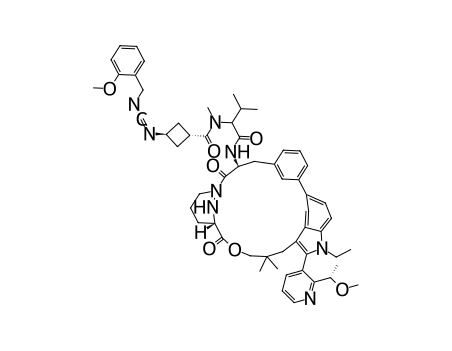 CCn1c(-c2cccnc2[C@H](C)OC)c2c3cc(ccc31)-c1cccc(c1)C[C@H](NC(=O)C(C(C)C)N(C)C(=O)[C@H]1C[C@H](N=C=NCc3ccccc3OC)C1)C(=O)N1CCC[C@H](N1)C(=O)OCC(C)(C)C2